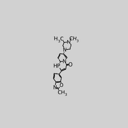 Cc1nc2ccc(C3=CC(=O)N4C=C(N5CCN(C)C(C)C5)C=CC4P3)cc2o1